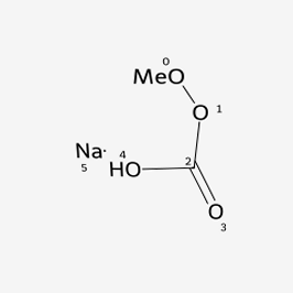 COOC(=O)O.[Na]